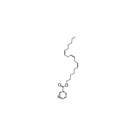 CCCCC/C=C\C/C=C\C/C=C\CCCCCOC(=O)c1cccnc1